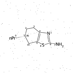 CCC[C@@H]1CCc2nc(N)sc2C1